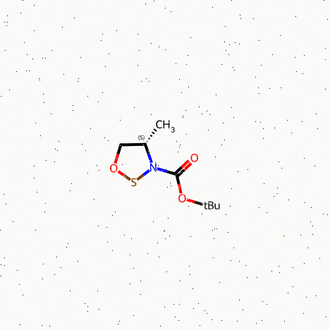 C[C@H]1COSN1C(=O)OC(C)(C)C